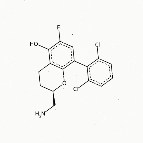 NC[C@H]1CCc2c(O)c(F)cc(-c3c(Cl)cccc3Cl)c2O1